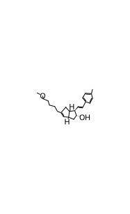 COCCCCCC1=C[C@H]2C[C@@H](O)[C@H](/C=C/c3ccc(C)cc3)[C@H]2C1